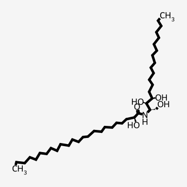 CCCCCCCCCCCCCCCCCCCCCC[C@H](O)C(=O)N[C@@H](CO)[C@H](O)[C@H](O)CCCCCCCCCCCCCC